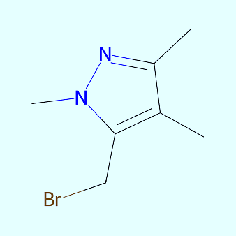 Cc1nn(C)c(CBr)c1C